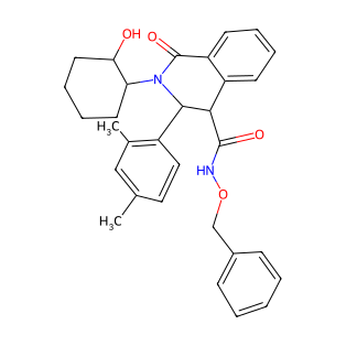 Cc1ccc(C2C(C(=O)NOCc3ccccc3)c3ccccc3C(=O)N2C2CCCCC2O)c(C)c1